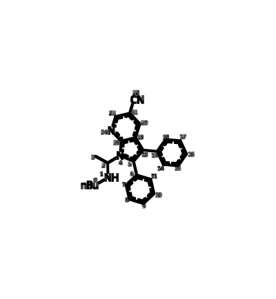 CCCCNC(C)n1c(-c2ccccc2)c(-c2ccccc2)c2cc(C#N)cnc21